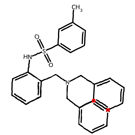 Cc1cccc(S(=O)(=O)Nc2ccccc2CN(Cc2ccccc2)Cc2cccnc2)c1